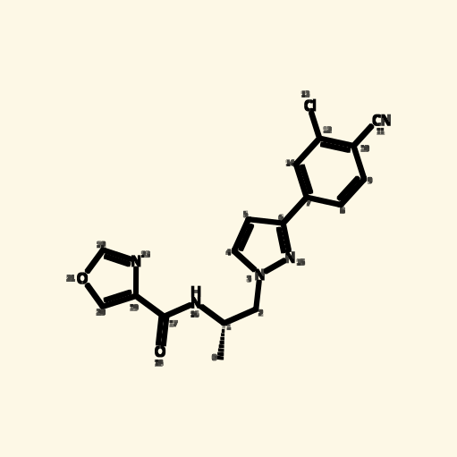 C[C@@H](Cn1ccc(-c2ccc(C#N)c(Cl)c2)n1)NC(=O)c1cocn1